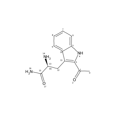 CC(=O)c1[nH]c2ccccc2c1C[C@H](N)C(N)=O